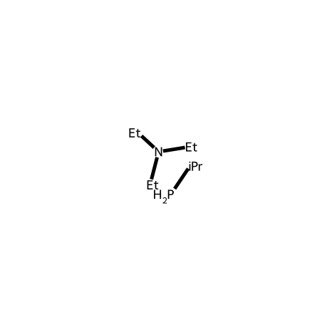 CC(C)P.CCN(CC)CC